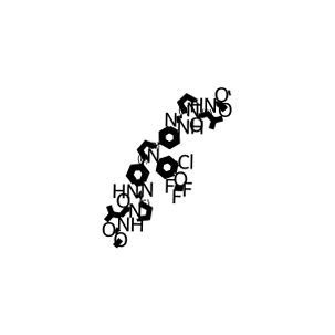 COC(=O)NC(C(=O)N1CCC[C@H]1c1nc2cc([C@H]3CC[C@H](c4ccc5[nH]c([C@@H]6CCCN6C(=O)[C@@H](NC(=O)OC)C(C)C)nc5c4)N3c3ccc(OC(F)(F)F)c(Cl)c3)ccc2[nH]1)C(C)C